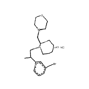 CC(CN1CCCCC1CN1CCOCC1)c1cccc(Br)c1.Cl.Cl